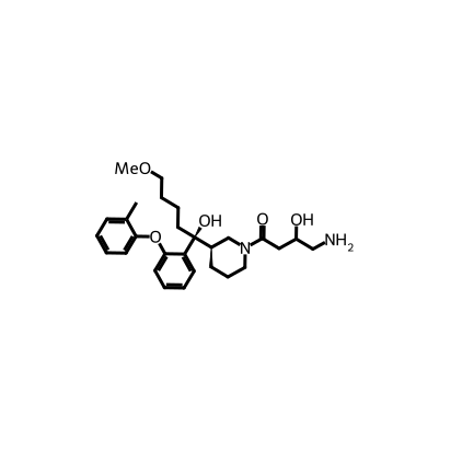 COCCCC[C@@](O)(c1ccccc1Oc1ccccc1C)[C@@H]1CCCN(C(=O)CC(O)CN)C1